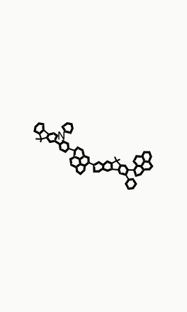 CC1(C)c2cc(-c3ccc4ccc5cccc6ccc3c4c56)c(-c3ccccc3)cc2-c2cc3ccc(-c4cc5ccc(-c6ccc7c8cc9c(cc8n(-c8ccccc8)c7c6)-c6ccccc6C9(C)C)c6ccc7cccc4c7c56)cc3cc21